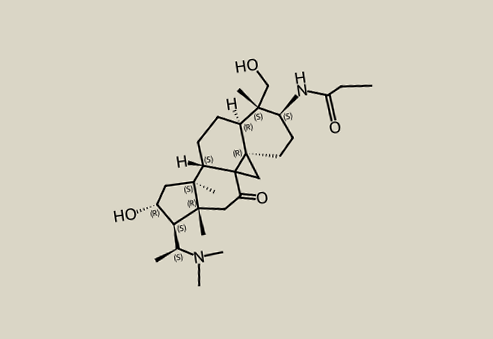 CCC(=O)N[C@H]1CC[C@]23CC24C(=O)C[C@]2(C)[C@@H]([C@H](C)N(C)C)[C@H](O)C[C@@]2(C)[C@@H]4CC[C@H]3[C@]1(C)CO